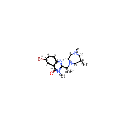 CCC[C@@H](c1nc2ccc(Br)cc2c(=O)n1CC)N1CCN(C)C[C@@H](CC)C1